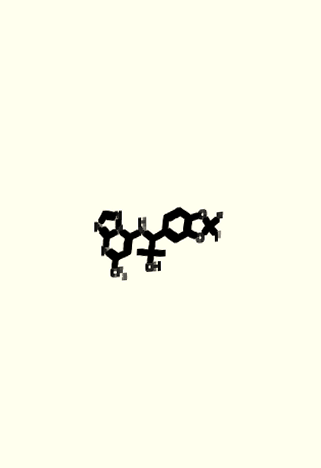 CC(C)(O)C(Nc1cc(C(F)(F)F)nc2ncnn12)c1ccc2c(c1)OC(F)(F)O2